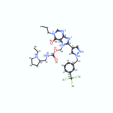 CCCn1cnc2nc(-c3cnn(Cc4cccc(C(F)(F)F)c4)c3)n(COC(=O)NCC3CCCN3CC)c2c1=O